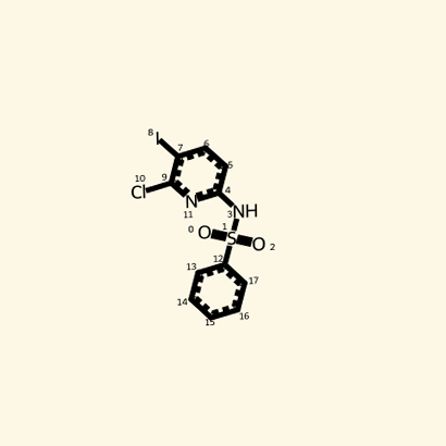 O=S(=O)(Nc1ccc(I)c(Cl)n1)c1ccccc1